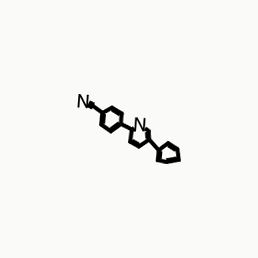 N#Cc1ccc(-c2ccc(-c3ccccc3)cn2)cc1